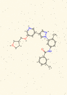 Cc1ccc(NC(=O)c2cccc(C(F)(F)F)c2)cc1-n1cc(-c2cncc(OCC3CCOC3)c2)cn1